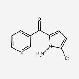 CCc1ccc(C(=O)c2cccnc2)n1N